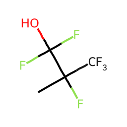 CC(F)(C(O)(F)F)C(F)(F)F